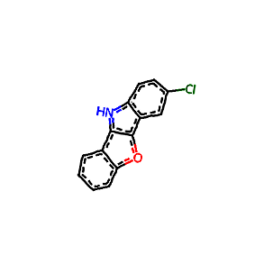 Clc1ccc2[nH]c3c4ccccc4oc3c2c1